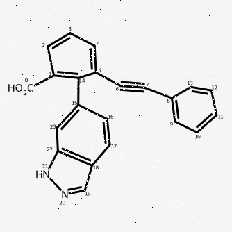 O=C(O)c1cccc(C#Cc2ccccc2)c1-c1ccc2cn[nH]c2c1